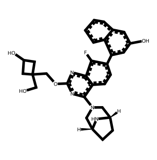 OCC1(COc2nc(N3C[C@H]4CC[C@@H](C3)N4)c3ccc(-c4cc(O)cc5ccccc45)c(F)c3n2)CC(O)C1